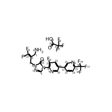 NCC(Cn1ncn(-c2ncc(-c3ccc(C(F)(F)F)nc3)cc2F)c1=O)=C(F)F.O=C(O)C(F)(F)F